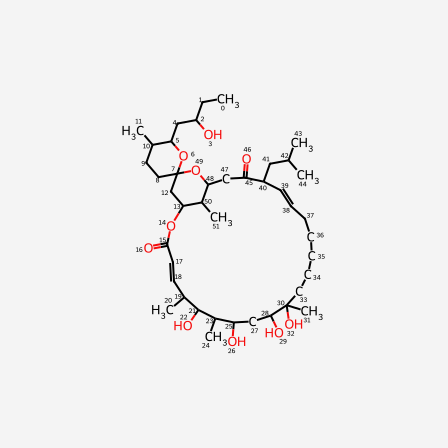 CCC(O)CC1OC2(CCC1C)CC1OC(=O)/C=C/C(C)C(O)C(C)C(O)CC(O)C(C)(O)CCCCC/C=C/C(CC(C)C)C(=O)CC(O2)C1C